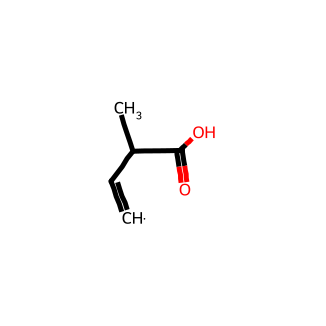 [CH]=CC(C)C(=O)O